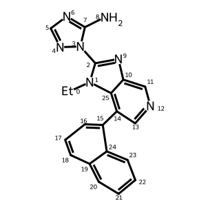 CCn1c(-n2ncnc2N)nc2cncc(-c3cccc4ccccc34)c21